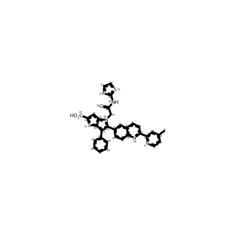 Cc1ccnc(-c2ccc3cc(-c4c(-c5ccccc5)c5sc(C(=O)O)cc5n4CC(=O)Nc4nccs4)ccc3n2)c1